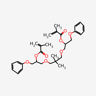 C=C(C)C(=O)OC(COCC(C)(C)COCC(COc1ccccc1)OC(=O)C(=C)C)COc1ccccc1